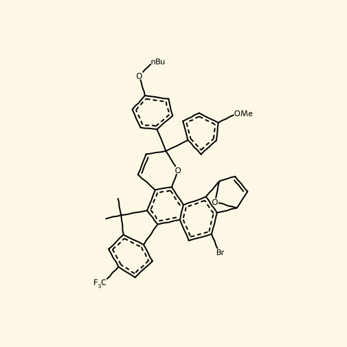 CCCCOc1ccc(C2(c3ccc(OC)cc3)C=Cc3c4c(c5cc(Br)c6c(c5c3O2)C2C=CC6O2)-c2ccc(C(F)(F)F)cc2C4(C)C)cc1